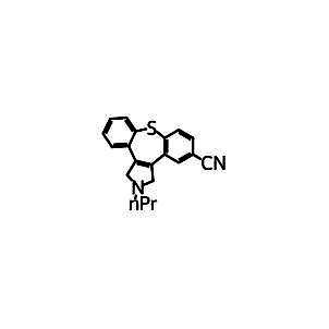 CCCN1CC2=C(C1)c1cc(C#N)ccc1Sc1ccccc12